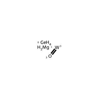 [GeH4].[MgH2].[O]=[W]